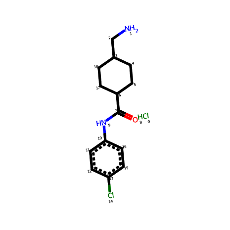 Cl.NCC1CCC(C(=O)Nc2ccc(Cl)cc2)CC1